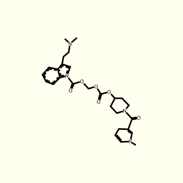 CN1C=CCC(C(=O)N2CCC(OC(=O)OCOC(=O)n3cc(CCN(C)C)c4ccccc43)CC2)=C1